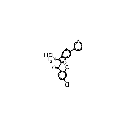 Cl.Nc1c(C(=O)c2ccc(Cl)cc2Cl)oc2cc(-c3cccnc3)ccc12